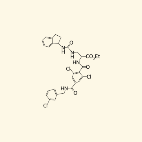 CCOC(=O)C(CNC(=O)NC1CCc2ccccc21)NC(=O)c1c(Cl)cc(C(=O)NCc2cccc(Cl)c2)cc1Cl